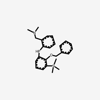 CN(C)Cc1ccccc1Pc1cccc([Si](C)(C)C)c1OCc1ccccc1